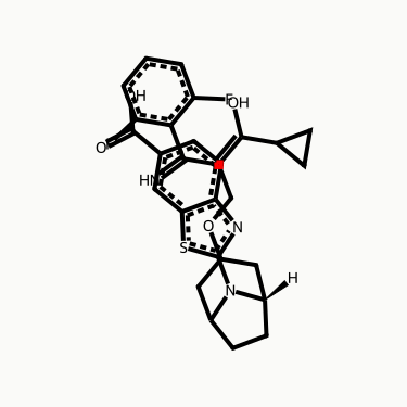 N=C(/C(COC1CC2CC[C@@H](C1)N2c1nc2ccc(C(=O)O)cc2s1)=C(\O)C1CC1)c1c(F)cccc1F